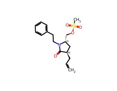 C=CC[C@@H]1C[C@@H](COS(C)(=O)=O)N(CCc2ccccc2)C1=O